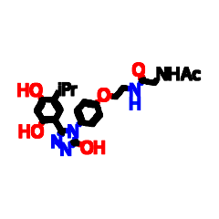 CC(=O)NCC(=O)NCCOc1ccc(-n2c(O)nnc2-c2cc(C(C)C)c(O)cc2O)cc1